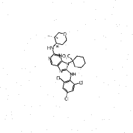 C[C@@H]1COCC[C@H]1Nc1ncc2nc(Nc3c(Cl)cc(Cl)cc3Cl)n(C3(C(=O)O)CCCCC3)c2n1